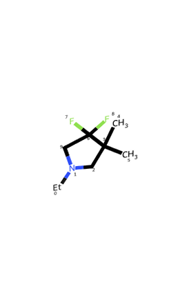 CCN1CC(C)(C)C(F)(F)C1